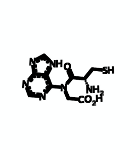 N[C@@H](CS)C(=O)N(CC(=O)O)c1ncnc2nc[nH]c12